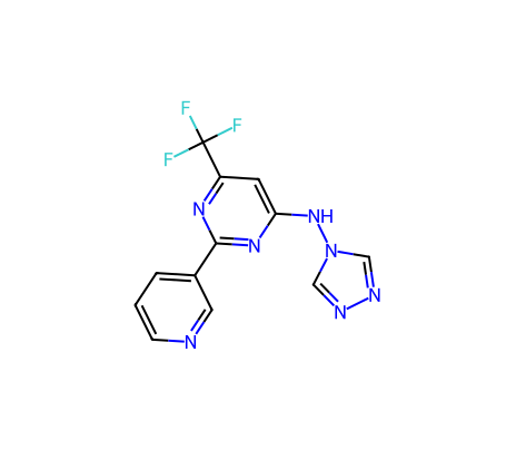 FC(F)(F)c1cc(Nn2cnnc2)nc(-c2cccnc2)n1